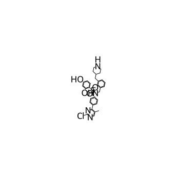 Cc1cnc(Cl)nc1-c1ccc(N(Cc2cccc(CC3CCNCC3)c2)S(=O)(=O)c2ccc(O)cc2O)cc1